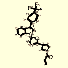 C=CC(=O)N1CCC(c2nnc(-n3nc(-c4ccc(C(F)(F)F)cc4)c4ccccc43)o2)C1